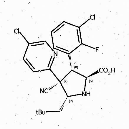 CC(C)(C)C[C@H]1N[C@H](C(=O)O)[C@@H](c2cccc(Cl)c2F)[C@]1(C#N)c1ccc(Cl)cn1